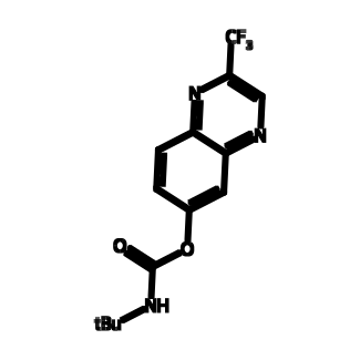 CC(C)(C)NC(=O)Oc1ccc2nc(C(F)(F)F)cnc2c1